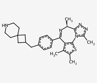 Cc1sc2c(c1C)C(c1ccc(CC3CC4(CCNCC4)C3)cc1)=N[C@@H](C)c1nnc(C)n1-2